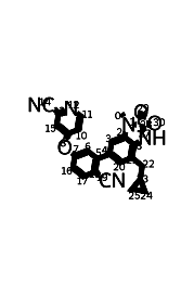 CN1c2cc(-c3cc(Oc4ccnc(C#N)c4)ccc3C#N)cc(CC3CC3)c2NS1(=O)=O